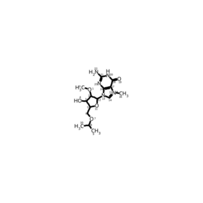 COC1C(O)C(COC(C)C)OC1n1c[n+](C)c2c(=O)[nH]c(N)nc21